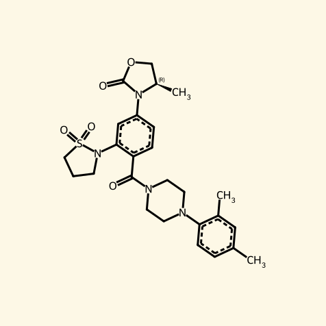 Cc1ccc(N2CCN(C(=O)c3ccc(N4C(=O)OC[C@H]4C)cc3N3CCCS3(=O)=O)CC2)c(C)c1